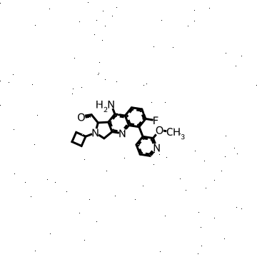 COc1ncccc1-c1c(F)ccc2c(N)c3c(nc12)CN(C1CCC1)C3C=O